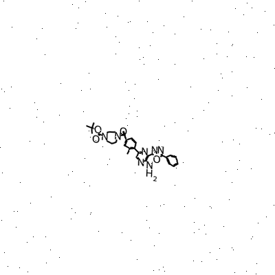 Cc1cc(C(=O)N2CCCN(C(=O)OC(C)(C)C)CC2)ccc1-c1cnc(N)c(-c2nnc(-c3ccccc3)o2)n1